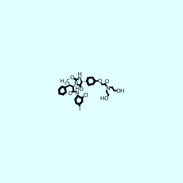 C[C@@H](c1ccccc1)[C@@H](C(=O)Nc1ccc(I)cc1Cl)N1C(=O)N[C@H](c2ccc(OCC(=O)N(CCO)CCO)cc2)C1=O